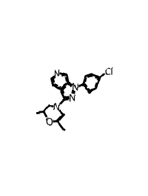 CC1CN(c2nn(-c3ccc(Cl)cc3)c3cnccc23)CC(C)O1